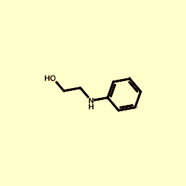 OCCNc1c[c]c[c]c1